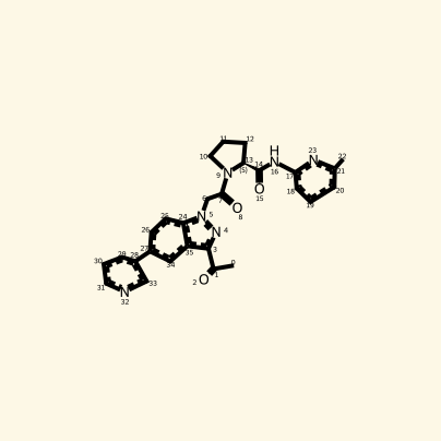 CC(=O)c1nn(CC(=O)N2CCC[C@H]2C(=O)Nc2cccc(C)n2)c2ccc(-c3cccnc3)cc12